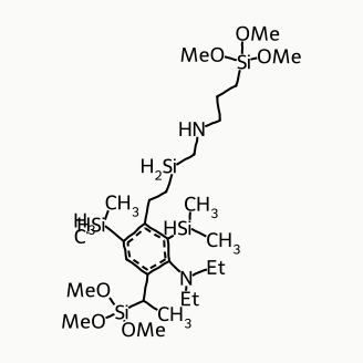 CCN(CC)c1c(C(C)[Si](OC)(OC)OC)cc([SiH](C)C)c(CC[SiH2]CNCCC[Si](OC)(OC)OC)c1[SiH](C)C